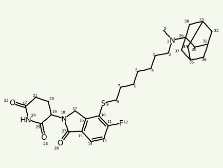 CN(CCCCCCCSc1c(F)ccc2c1CN(C1CCC(=O)NC1=O)C2=O)C12CC3CC(CC(C3)C1)C2